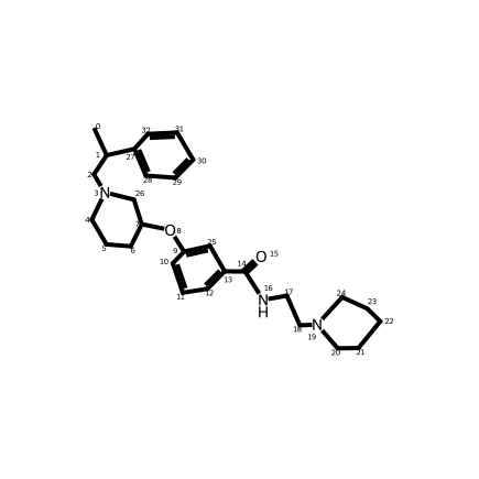 CC(CN1CCCC(Oc2cccc(C(=O)NCCN3CCCCC3)c2)C1)c1ccccc1